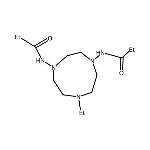 CCC(=O)NN1CCN(CC)CCN(NC(=O)CC)CC1